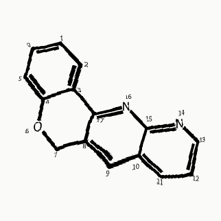 c1ccc2c(c1)OCc1cc3cccnc3nc1-2